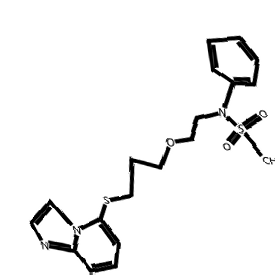 CS(=O)(=O)N(CCOCCCSc1cccc2nccn12)c1ccccc1